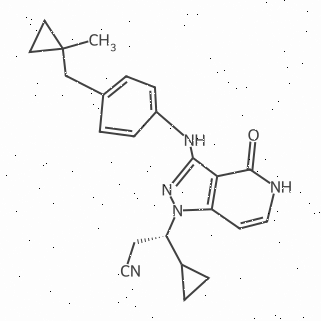 CC1(Cc2ccc(Nc3nn([C@@H](CC#N)C4CC4)c4cc[nH]c(=O)c34)cc2)CC1